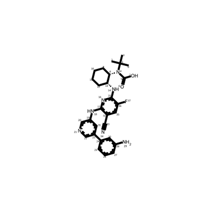 CC(C)(C)N(C(=O)O)[C@H]1CCCC[C@H]1Nc1nc(Nc2cncc(-c3cccc(N)c3)c2)c(C#N)cc1F